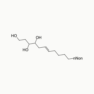 CCCCCCCCCCCCC/C=C/CC(O)C(O)CCO